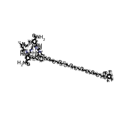 CCN/C(=C\C(C)=N)C(=O)/N=c1\[nH]c2cc(C(N)=O)cc(OC)c2n1C/C=C/Cn1/c(=N/C(=O)c2cc(C)nn2CC)[nH]c2cc(C(N)=O)cc(OCCCN3CCN(CCOCCOCCOCCOCCOCCOCCOCCOCCOCCOCCC(=O)Oc4c(F)c(F)cc(F)c4F)CC3)c21